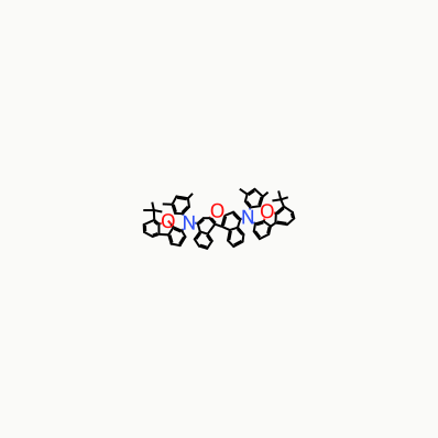 Cc1cc(C)cc(N(c2cc3oc4cc(N(c5cc(C)cc(C)c5)c5cccc6c5oc5c(C(C)(C)C)cccc56)c5ccccc5c4c3c3ccccc23)c2cccc3c2oc2c(C(C)(C)C)cccc23)c1